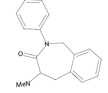 CNC1Cc2ccccc2CN(c2ccccc2)C1=O